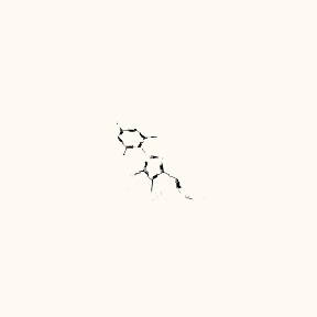 CSc1c(/C=N/OC(C)=O)nn(-c2c(Cl)cc(C(F)(F)F)cc2Cl)c1N